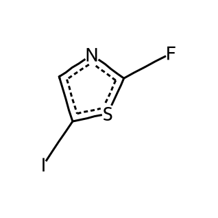 Fc1ncc(I)s1